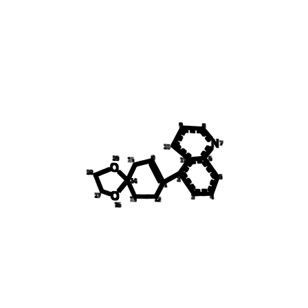 C1=C(c2cccc3ncccc23)CCC2(C1)OCCO2